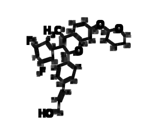 CC1=C(c2cc(F)cc(F)c2)C(c2ccc(C#CCO)cc2)Oc2cc(OC3CCCCO3)ccc21